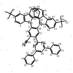 CC(C)(C)c1ccc2c(c1)c1c(n2-c2cc(C#N)c(-c3nc(-c4ccccc4)cc(-c4ccccc4)n3)cc2-n2c3ccccc3c3cc(C(C)(C)C)ccc32)CCC=C1